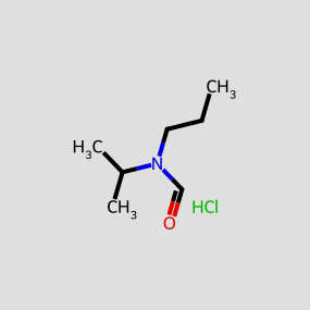 CCCN(C=O)C(C)C.Cl